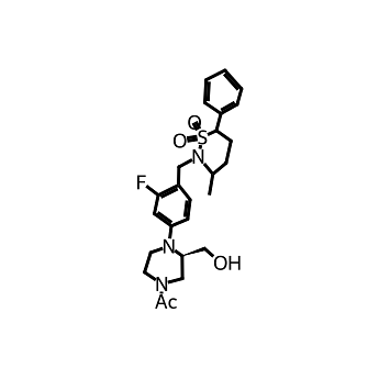 CC(=O)N1CCN(c2ccc(CN3C(C)CCC(c4ccccc4)S3(=O)=O)c(F)c2)[C@@H](CO)C1